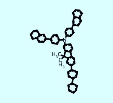 CC1(C)c2cc(-c3ccc(-c4ccccc4)cc3)ccc2-c2ccc(N(c3ccc(-c4ccc5ccccc5c4)cc3)c3ccc(-c4ccc5ccccc5c4)cc3)cc21